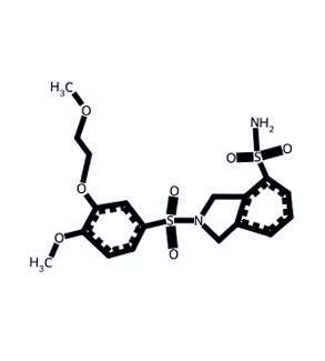 COCCOc1cc(S(=O)(=O)N2Cc3cccc(S(N)(=O)=O)c3C2)ccc1OC